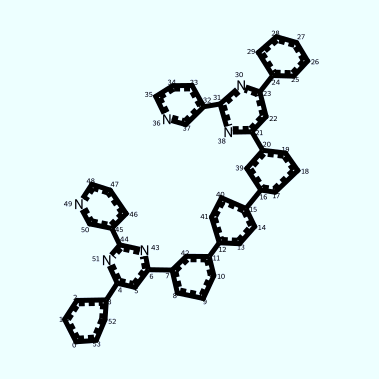 c1ccc(-c2cc(-c3cccc(-c4ccc(-c5cccc(-c6cc(-c7ccccc7)nc(-c7cccnc7)n6)c5)cc4)c3)nc(-c3cccnc3)n2)cc1